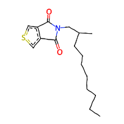 CCCCCCCCC(C)CN1C(=O)c2cscc2C1=O